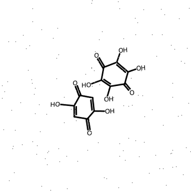 O=C1C(O)=C(O)C(=O)C(O)=C1O.O=C1C=C(O)C(=O)C=C1O